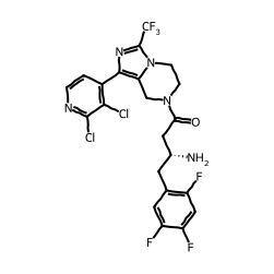 N[C@@H](CC(=O)N1CCn2c(C(F)(F)F)nc(-c3ccnc(Cl)c3Cl)c2C1)Cc1cc(F)c(F)cc1F